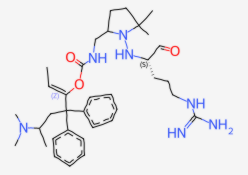 C/C=C(\OC(=O)NCC1CCC(C)(C)N1N[C@H](C=O)CCCNC(=N)N)C(CC(C)N(C)C)(c1ccccc1)c1ccccc1